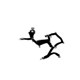 CC(=O)N1CCNC1=C[N+](=O)[O-]